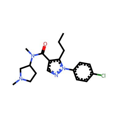 CCCc1c(C(=O)N(C)C2CCN(C)C2)cnn1-c1ccc(Cl)cc1